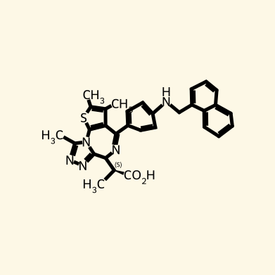 Cc1sc2c(c1C)C(c1ccc(NCc3cccc4ccccc34)cc1)=NC([C@H](C)C(=O)O)c1nnc(C)n1-2